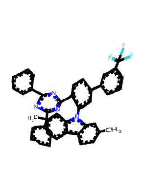 Cc1ccc2c3ccc(C)cc3n(-c3cc(-c4cccc(C(F)(F)F)c4)ccc3-c3nc(-c4ccccc4)nc(-c4ccccc4)n3)c2c1